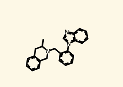 CC1Cc2ccccc2CN1Cc1ccccc1-n1cnc2ccccc21